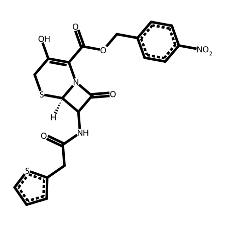 O=C(Cc1cccs1)NC1C(=O)N2C(C(=O)OCc3ccc([N+](=O)[O-])cc3)=C(O)CS[C@H]12